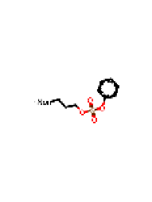 CCCCCCCCCCCCOS(=O)(=O)Oc1ccccc1